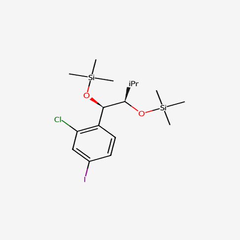 CC(C)[C@@H](O[Si](C)(C)C)[C@H](O[Si](C)(C)C)c1ccc(I)cc1Cl